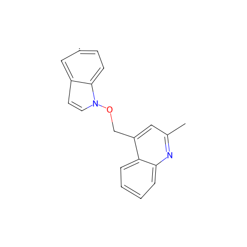 Cc1cc(COn2ccc3c[c]ccc32)c2ccccc2n1